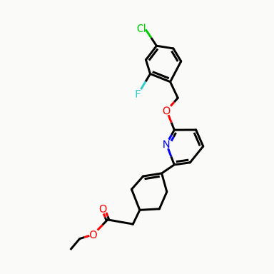 CCOC(=O)CC1CC=C(c2cccc(OCc3ccc(Cl)cc3F)n2)CC1